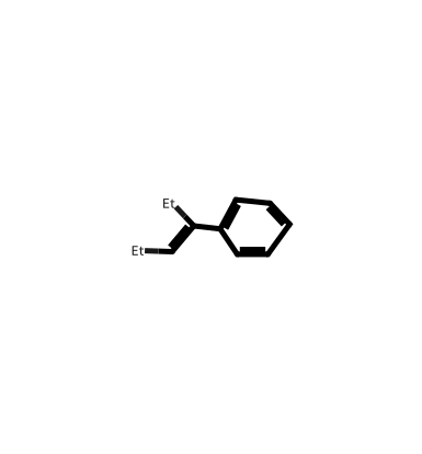 CCC=C(CC)c1ccccc1